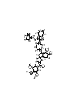 COc1cc(C(=O)N2CCC(CCN3CCCN(c4nc5ccccc5n4CCn4ccnn4)CC3)(c3ccc(Cl)c(Cl)c3)C2)cc(OC)c1OC